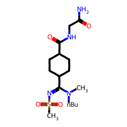 CCCCN(C)C(=NS(C)(=O)=O)C1CCC(C(=O)NCC(N)=O)CC1